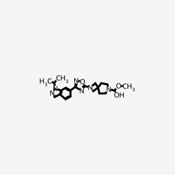 COC(O)N1CCC2(CC1)CN(c1nc(-c3ccc4cnn(C(C)C)c4c3)no1)C2